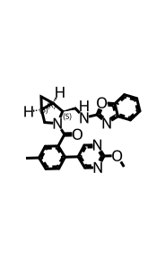 COc1ncc(-c2ccc(C)cc2C(=O)N2C[C@H]3C[C@H]3[C@H]2CNc2nc3ccccc3o2)cn1